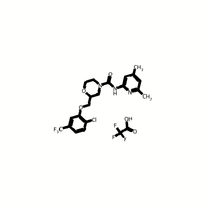 Cc1cc(C)nc(NC(=O)N2CCOC(COc3cc(C(F)(F)F)ccc3Cl)C2)c1.O=C(O)C(F)(F)F